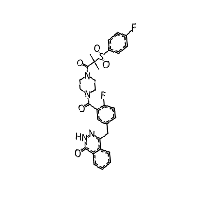 CC(C)(C(=O)N1CCN(C(=O)c2cc(Cc3n[nH]c(=O)c4ccccc34)ccc2F)CC1)S(=O)(=O)c1ccc(F)cc1